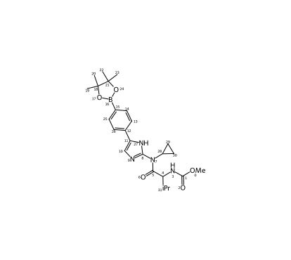 COC(=O)NC(C(=O)N(c1ncc(-c2ccc(B3OC(C)(C)C(C)(C)O3)cc2)[nH]1)C1CC1)C(C)C